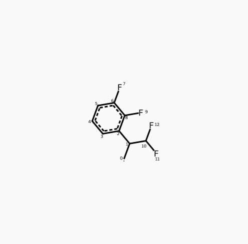 [CH2]C(c1cccc(F)c1F)C(F)F